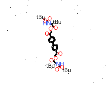 CC(C)(C)OC(=O)N[C@H](C(=O)OCC(=O)c1ccc(-c2ccc(C(=O)COC(=O)[C@@H](NC(=O)OC(C)(C)C)C(C)(C)C)cc2)cc1)C(C)(C)C